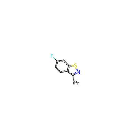 CC(C)c1nsc2cc(F)ccc12